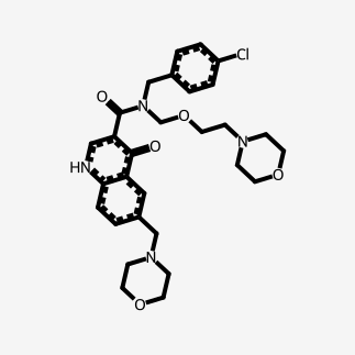 O=C(c1c[nH]c2ccc(CN3CCOCC3)cc2c1=O)N(COCCN1CCOCC1)Cc1ccc(Cl)cc1